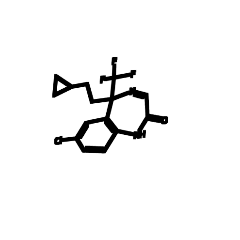 O=C1C=NC(CCC2CC2)(C(F)(F)F)c2cc(Cl)ccc2N1